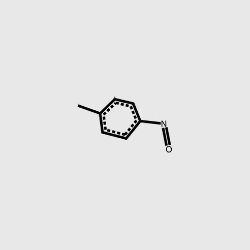 Cc1[c]cc(N=O)cc1